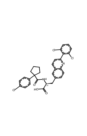 O=C(O)[C@H](Cc1ccc2nc(-c3c(Cl)cccc3Cl)ccc2c1)NC(=O)C1(c2ccc(Cl)cc2)CCCC1